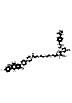 CCc1cc2c(cc1N1CCC(N3CCN(C(=O)CCOCCOCCOCCC(=O)NC(C(=O)N4C[C@H](O)C[C@H]4C(=O)NCc4ccc(-c5scnc5C)cc4)C(C)(C)C)CC3)CC1)C(C)(C)c1[nH]c3cc(C#N)ccc3c1C2=O